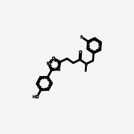 CN(Cc1cccc(F)c1)C(=O)CCc1nc(-c2ccc(O)cc2)no1